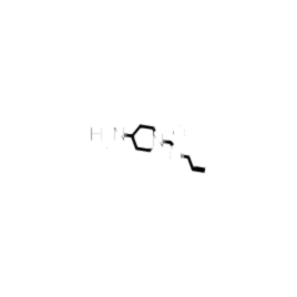 C=CCOC(=O)N1CCC(N)CC1